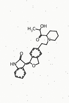 CC(O)C(=O)C1CCCCN1CCc1ccc2c(c1)CO/C2=C1/C(=O)Nc2ccccc21